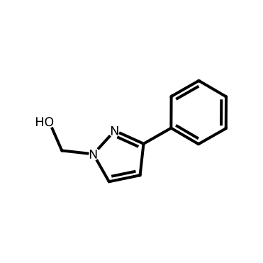 OCn1ccc(-c2ccccc2)n1